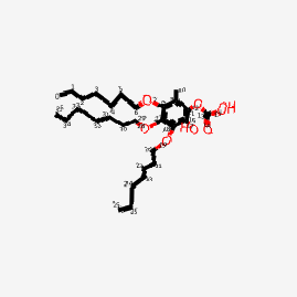 CCCCCCCOc1c(C)c(OC(=O)O)c(O)c(OCCCCCCC)c1OCCCCCCC